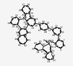 CC1(Nc2ccccc2-c2cccc(-c3ccc(-c4cc5c6c(c4)c4ccccc4n6-c4ccccc4-c4cc6ccccc6cc4-5)cc3)c2)C=c2ccccc2=C2C=CC=CC21